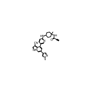 C#CC(=O)NC1(C)CCC(Nc2ccc(-c3cc(-c4cnn(C)c4)cn4ncc(C#N)c34)cn2)CC1